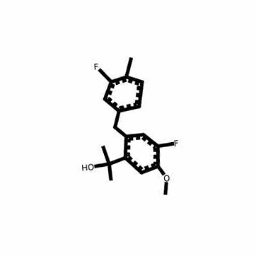 COc1cc(C(C)(C)O)c(Cc2ccc(C)c(F)c2)cc1F